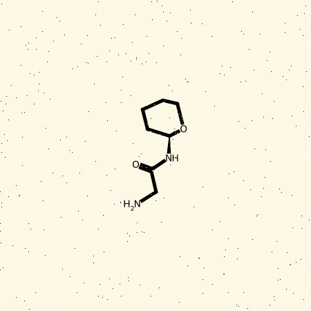 NCC(=O)N[C@H]1CCCCO1